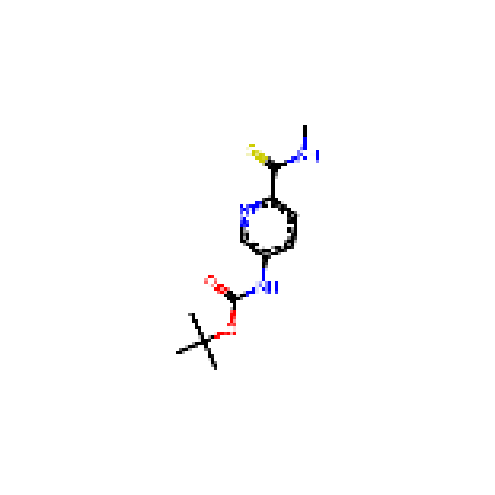 CNC(=S)c1ccc(NC(=O)OC(C)(C)C)cn1